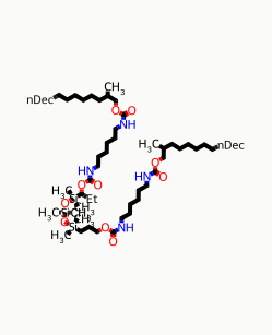 CCCCCCCCCCCCCCCCC(C)COC(=O)NCCCCCCNC(=O)OCCC[Si](C)(C)O[Si](C)(C)O[Si](C)(C)C(CC)OC(=O)NCCCCCCNC(=O)OCC(C)CCCCCCCCCCCCCCCC